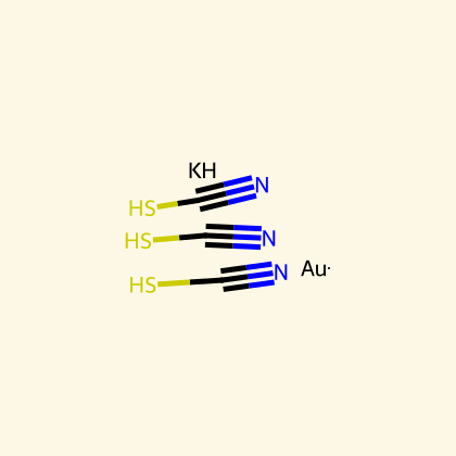 N#CS.N#CS.N#CS.[Au].[KH]